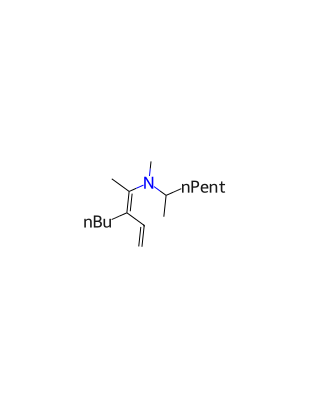 C=C/C(CCCC)=C(/C)N(C)C(C)CCCCC